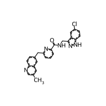 Cc1cnc2ccc(Cc3cccc(C(=O)NCc4n[nH]c5ccc(Cl)cc45)n3)cc2c1